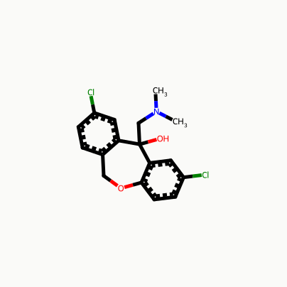 CN(C)CC1(O)c2cc(Cl)ccc2COc2ccc(Cl)cc21